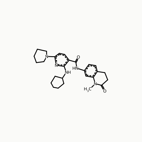 CN1C(=O)CCc2ccc(NC(=O)c3ccc(N4CCCCC4)nc3NC3CCCCC3)cc21